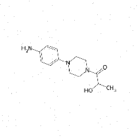 CC(O)C(=O)N1CCN(c2ccc(N)cc2)CC1